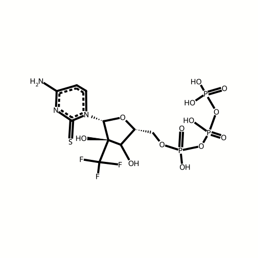 Nc1ccn([C@@H]2O[C@H](COP(=O)(O)OP(=O)(O)OP(=O)(O)O)C(O)[C@]2(O)C(F)(F)F)c(=S)n1